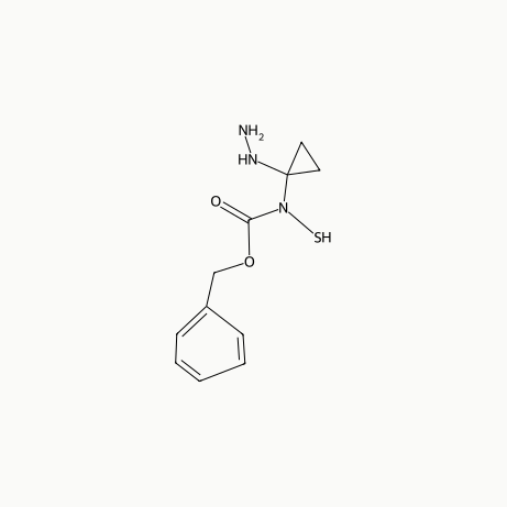 NNC1(N(S)C(=O)OCc2ccccc2)CC1